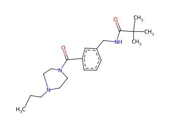 CCCN1CCN(C(=O)c2cccc(CNC(=O)C(C)(C)C)c2)CC1